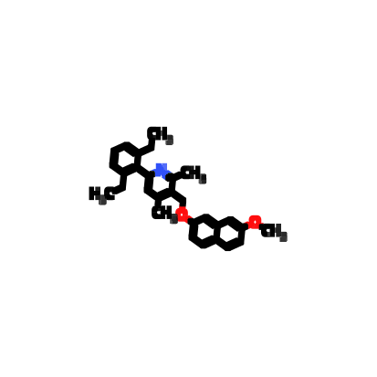 CCc1cccc(CC)c1-c1cc(C)c(COc2ccc3ccc(OC)cc3c2)c(C)n1